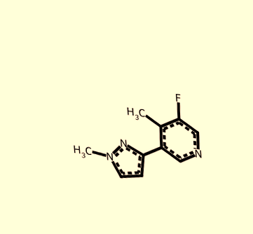 Cc1c(F)cncc1-c1ccn(C)n1